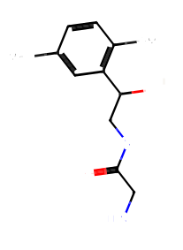 Br.COc1ccc(OC)c(C(O)CNC(=O)CN)c1